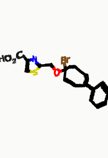 O=C(O)c1csc(COC2(Br)C=CC(c3ccccc3)=CC2)n1